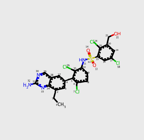 CCc1cc(-c2c(Cl)ccc(NS(=O)(=O)c3cc(Cl)cc(CO)c3Cl)c2Cl)cc2cnc(N)nc12